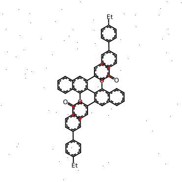 CCc1ccc(-c2ccc(C(=O)Oc3c(-c4c(-c5ccccc5)cc5ccccc5c4OC(=O)c4ccc(-c5ccc(CC)cc5)cc4)c(-c4ccccc4)cc4ccccc34)cc2)cc1